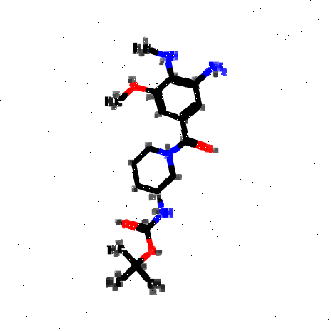 CNc1c(N)cc(C(=O)N2CCC[C@@H](NC(=O)OC(C)(C)C)C2)cc1OC